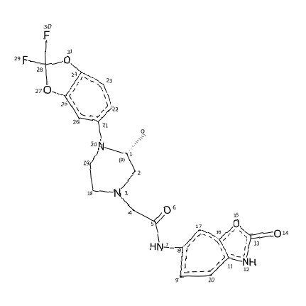 C[C@@H]1CN(CC(=O)Nc2ccc3[nH]c(=O)oc3c2)CCN1c1ccc2c(c1)OC(F)(F)O2